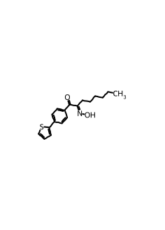 CCCCCCC(=NO)C(=O)c1ccc(-c2cccs2)cc1